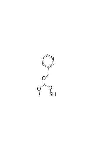 COC(OS)OCc1ccccc1